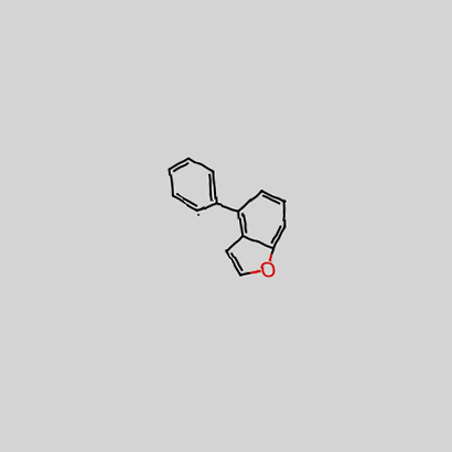 [c]1ccccc1-c1cccc2occc12